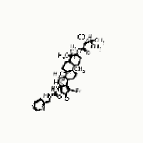 CC(C)C1=C2C3CCC4C5(C)CC[C@H](OC(=O)CC(C)(C)C(=O)O)C(C)(C)C5CC[C@@]4(C)[C@]3(C)CC[C@@]2(NC(=O)NCc2ccncn2)CC1=O